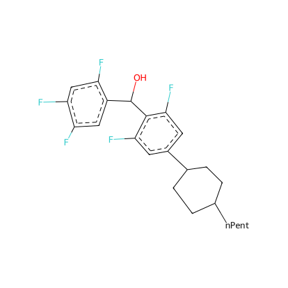 CCCCCC1CCC(c2cc(F)c(C(O)c3cc(F)c(F)cc3F)c(F)c2)CC1